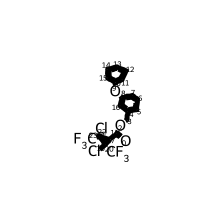 O=C(OCc1cccc(Oc2ccccc2)c1)C1C(Cl)(C(F)(F)F)C1(Cl)C(F)(F)F